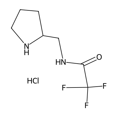 Cl.O=C(NCC1CCCN1)C(F)(F)F